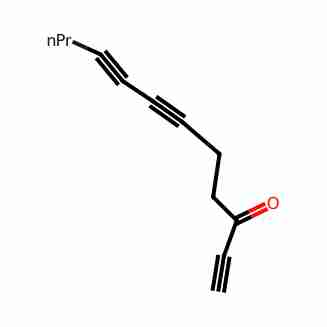 C#CC(=O)CCC#CC#CCCC